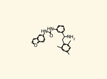 Cc1cc(C)c(CC(N)c2cccc(NC(=O)Nc3ccc4occc4c3)c2)c(C)c1